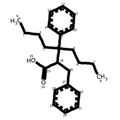 CCCCC(CCCC)(c1ccccc1)C(Cc1ccccc1)C(=O)O